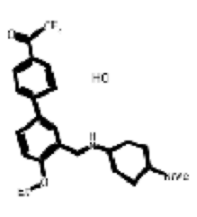 CCOc1ccc(-c2ccc(C(=O)C(F)(F)F)cc2)cc1CNC1CCC(NC)CC1.Cl